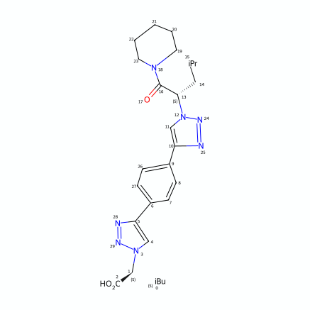 CC[C@H](C)[C@@H](C(=O)O)n1cc(-c2ccc(-c3cn([C@@H](CC(C)C)C(=O)N4CCCCC4)nn3)cc2)nn1